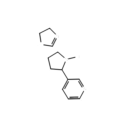 C1=NCCO1.CN1CCCC1c1cccnc1